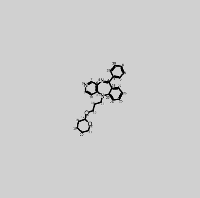 c1ccc(C2=Nc3cnccc3N(CCCOC3CCCCO3)c3ccccc32)cc1